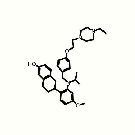 CCN1CCN(CCOc2ccc(CN(c3cc(OC)ccc3C3CCc4cc(O)ccc4C3)C(C)C)cc2)CC1